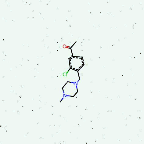 CC(=O)c1ccc(CN2CCN(C)CC2)c(Cl)c1